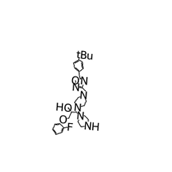 CC(C)(C)c1ccc(-c2nc(CN3CCN(C([C@H](O)COc4ccccc4F)N4CCNCC4)CC3)no2)cc1